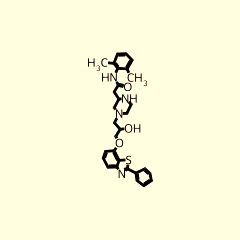 Cc1cccc(C)c1NC(=O)CC1CN(CC(O)COc2cccc3nc(-c4ccccc4)sc23)CCN1